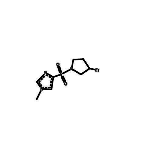 CCC1CCN(S(=O)(=O)c2cn(C)cn2)C1